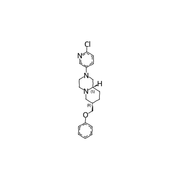 Clc1ccc(N2CCN3C[C@H](COc4ccccc4)CC[C@H]3C2)cn1